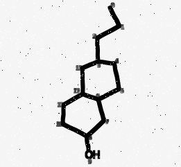 CCCC1CCC2CC(O)CCC2C1